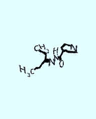 CCCC(CCC)=NNC(=O)c1ccncc1